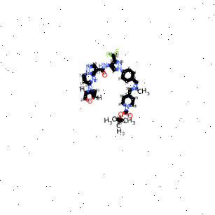 CN(CC1CCC(n2cc(NC(=O)c3cnn4ccc(N5C[C@H]6C[C@@H]5CO6)nc34)c(C(F)F)n2)CC1)CC1CCN(C(=O)OC(C)(C)C)CC1